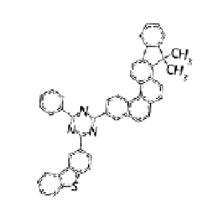 CC1(C)c2ccccc2-c2ccc3c(ccc4ccc5cc(-c6nc(-c7ccccc7)nc(-c7ccc8sc9ccccc9c8c7)n6)ccc5c43)c21